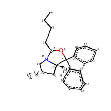 CCCCB1OC(c2ccccc2)(c2ccccc2)[C@@H]2CCCN12.[H-].[Li+]